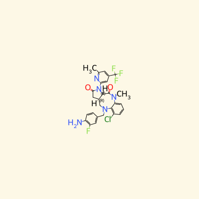 Cc1cc(C(F)(F)F)cc(N2C(=O)C[C@@H]3CN(Cc4ccc(N)c(F)c4)c4c(Cl)cccc4N(C)C(=O)[C@H]32)n1